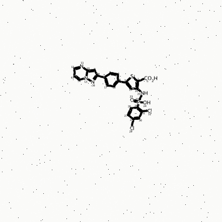 O=C(O)c1sc(-c2ccc(-c3cc4ncccn4n3)cc2)cc1NP(=O)(O)c1ccc(Cl)cc1Cl